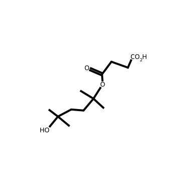 CC(C)(O)CCC(C)(C)OC(=O)CCC(=O)O